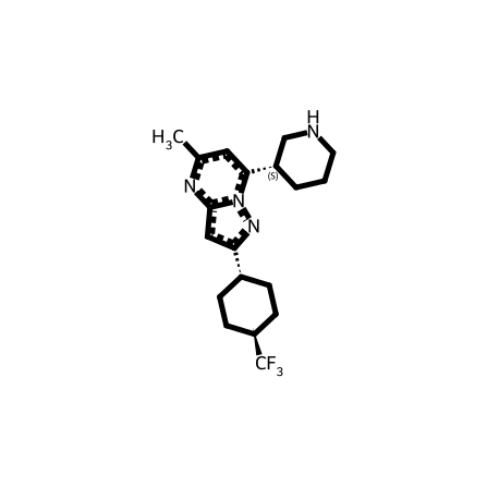 Cc1cc([C@H]2CCCNC2)n2nc([C@H]3CC[C@H](C(F)(F)F)CC3)cc2n1